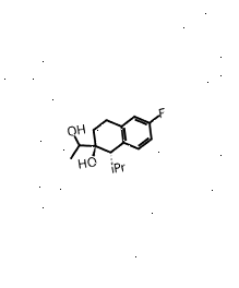 CC(C)[C@H]1c2ccc(F)cc2CC[C@@]1(O)C(C)O